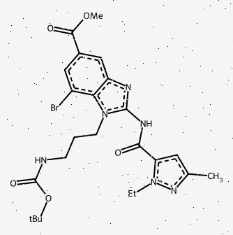 CCn1nc(C)cc1C(=O)Nc1nc2cc(C(=O)OC)cc(Br)c2n1CCCNC(=O)OC(C)(C)C